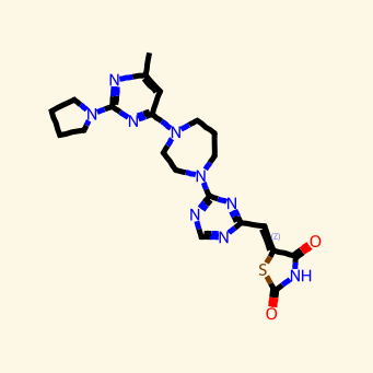 Cc1cc(N2CCCN(c3ncnc(/C=C4\SC(=O)NC4=O)n3)CC2)nc(N2CCCC2)n1